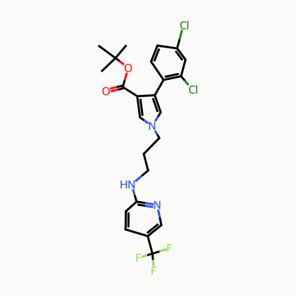 CC(C)(C)OC(=O)c1cn(CCCNc2ccc(C(F)(F)F)cn2)cc1-c1ccc(Cl)cc1Cl